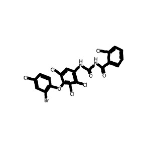 O=C(NC(=O)c1ccccc1Cl)Nc1cc(Cl)c(Oc2ccc(Cl)cc2Br)c(Cl)c1Cl